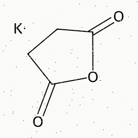 O=C1CCC(=O)O1.[K]